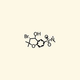 CN(C)S(=O)(=O)c1ccc2c(c1)[C@H](O)[C@@H](Br)C(C)(C)O2